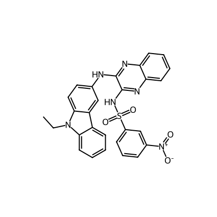 CCn1c2ccccc2c2cc(Nc3nc4ccccc4nc3NS(=O)(=O)c3cccc([N+](=O)[O-])c3)ccc21